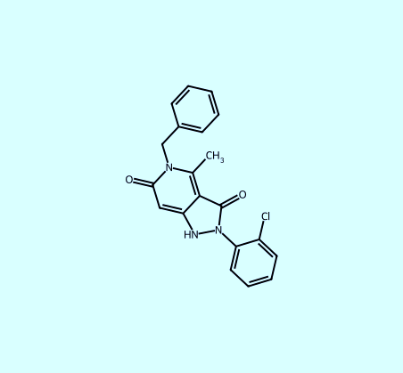 Cc1c2c(=O)n(-c3ccccc3Cl)[nH]c2cc(=O)n1Cc1ccccc1